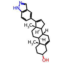 C[C@]12CC[C@H](O)CC1=CC[C@@H]1[C@@H]2CC[C@]2(C)C(c3ccc4[nH]ncc4c3)=CC[C@@H]12